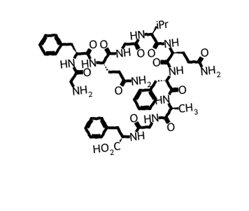 CC(C)[C@H](NC(=O)CNC(=O)[C@H](CCC(N)=O)NC(=O)[C@H](Cc1ccccc1)NC(=O)CN)C(=O)N[C@@H](CCC(N)=O)C(=O)N[C@@H](Cc1ccccc1)C(=O)N[C@@H](C)C(=O)NCC(=O)N[C@@H](Cc1ccccc1)C(=O)O